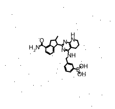 CC1Cc2c(C(N)=O)cccc2C1c1nc2c(c(NCc3cccc(B(O)O)c3)n1)CCCN2